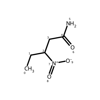 CCC(CC(N)=O)[N+](=O)[O-]